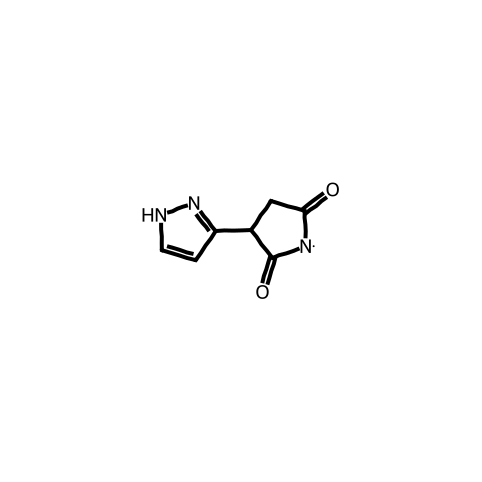 O=C1CC(c2cc[nH]n2)C(=O)[N]1